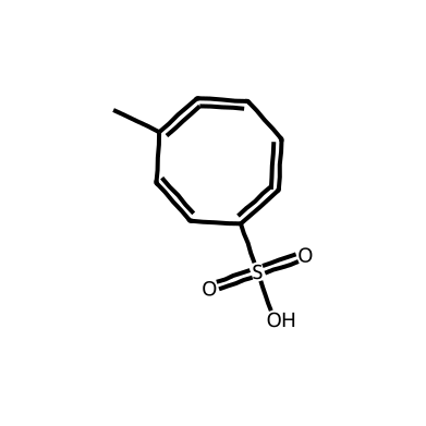 CC1=C=CC=C=C(S(=O)(=O)O)/C=C\1